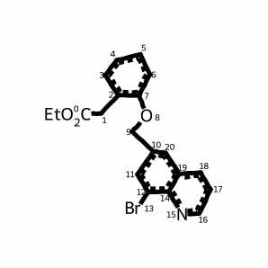 CCOC(=O)Cc1ccccc1OCc1cc(Br)c2ncccc2c1